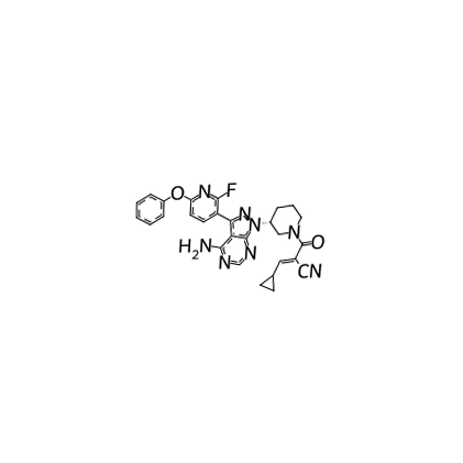 N#CC(=CC1CC1)C(=O)N1CCC[C@@H](n2nc(-c3ccc(Oc4ccccc4)nc3F)c3c(N)ncnc32)C1